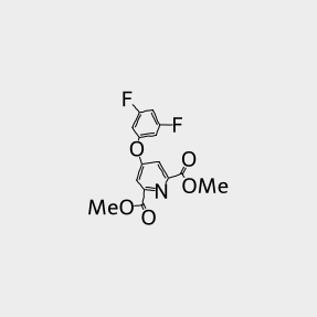 COC(=O)c1cc(Oc2cc(F)cc(F)c2)cc(C(=O)OC)n1